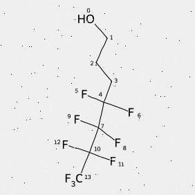 OC[CH]CC(F)(F)C(F)(F)C(F)(F)C(F)(F)F